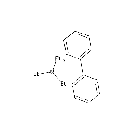 CCN(P)CC.c1ccc(-c2ccccc2)cc1